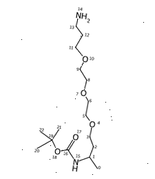 CC(CCOCCOCCOCCCN)NC(=O)OC(C)(C)C